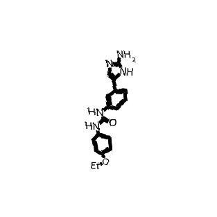 CCOc1ccc(NC(=O)Nc2cccc(-c3cnc(N)[nH]3)c2)cc1